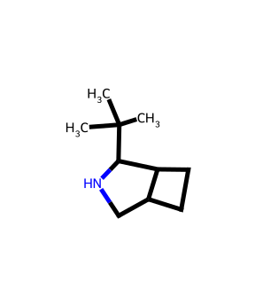 CC(C)(C)C1NCC2CCC21